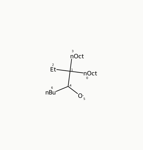 CCCCCCCCC(CC)(CCCCCCCC)C([O])CCCC